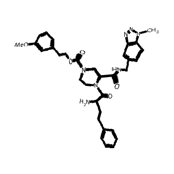 COc1cccc(CCOC(=O)N2CCN(C(=O)C(N)CCc3ccccc3)C(C(=O)NCc3ccc4c(c3)nnn4C)C2)c1